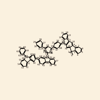 CC1(C)c2ccccc2-c2cc3c4ccccc4n(-c4ccc(-c5cc(-c6ccccc6)nc(-n6c7ccccc7c7ccc(-c8ccc9c(c8)c8ccccc8n9-c8ccccc8)cc76)n5)cc4)c3cc21